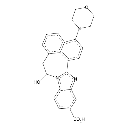 O=C(O)c1ccc2c(c1)nc1n2C(O)Cc2cccc3c(N4CCOCC4)ccc-1c23